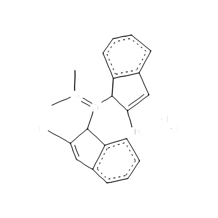 CC(C)C1=Cc2ccccc2[CH]1[Zr+2]([CH]1C(C(C)C)=Cc2ccccc21)=[Ge]([CH3])[CH3].[Cl-].[Cl-]